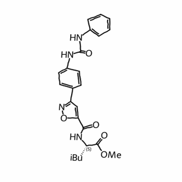 CCC(C)[C@H](NC(=O)c1cc(-c2ccc(NC(=O)Nc3ccccc3)cc2)no1)C(=O)OC